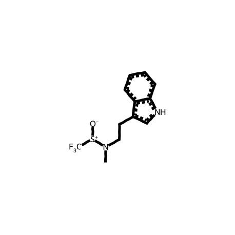 CN(CCc1c[nH]c2ccccc12)[S+]([O-])C(F)(F)F